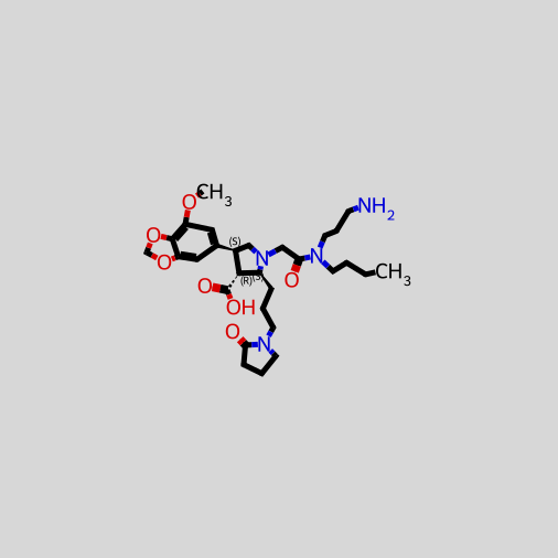 CCCCN(CCCN)C(=O)CN1C[C@H](c2cc(OC)c3c(c2)OCO3)[C@@H](C(=O)O)[C@@H]1CCCN1CCCC1=O